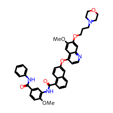 COc1ccc(C(=O)Nc2ccccc2)cc1NC(=O)c1cccc2cc(Oc3ccnc4cc(OCCCN5CCOCC5)c(OC)cc34)ccc12